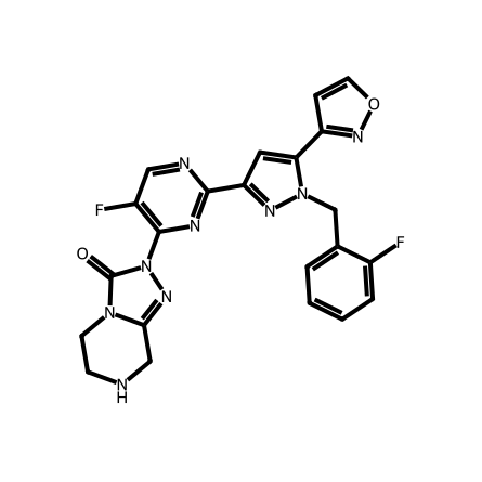 O=c1n(-c2nc(-c3cc(-c4ccon4)n(Cc4ccccc4F)n3)ncc2F)nc2n1CCNC2